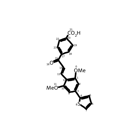 COc1cc(-c2cccs2)cc(OC)c1C=CC(=O)c1ccc(C(=O)O)cc1